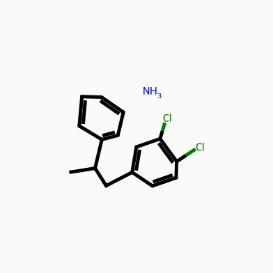 CC(Cc1ccc(Cl)c(Cl)c1)c1ccccc1.N